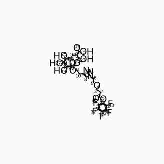 O=C(CCOCCn1cc(CCO[C@H]2O[C@H](CC(C(=O)O)C(=O)O)[C@@H](O)[C@H](O)[C@@H]2O)nn1)Oc1c(F)c(F)c(F)c(F)c1F